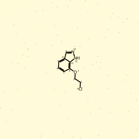 ClCCOc1cccc2cn[nH]c12